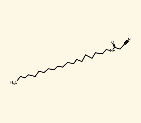 CCCCCCCCCCCCCCCCCCCCNC(=O)CC#N